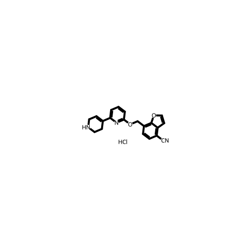 Cl.N#Cc1ccc(COc2cccc(C3=CCNCC3)n2)c2occc12